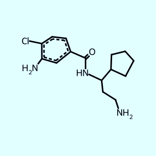 NCCC(NC(=O)c1ccc(Cl)c(N)c1)C1CCCC1